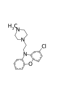 CN1CCN(CCN2c3ccccc3Oc3ccc(Cl)cc32)CC1